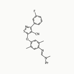 Cc1cc(Oc2snc(-c3cccc(F)c3)c2C#N)c(C)cc1N=CN(C)C(C)C